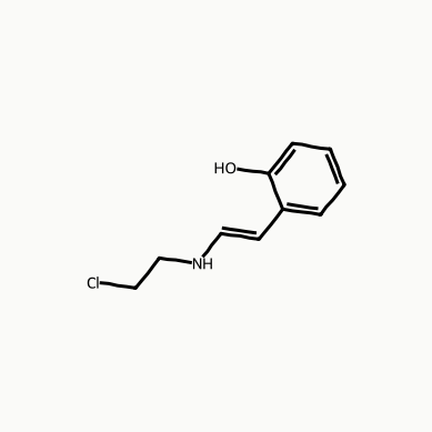 Oc1ccccc1C=CNCCCl